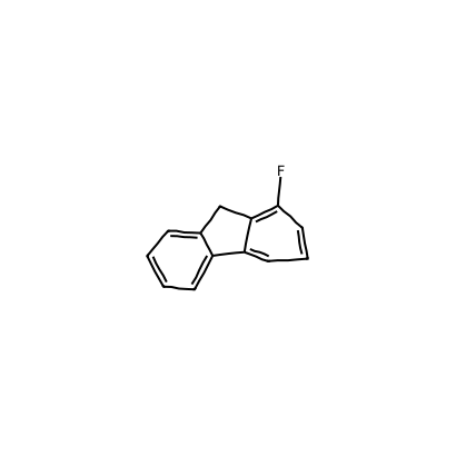 Fc1cccc2c1Cc1ccccc1-2